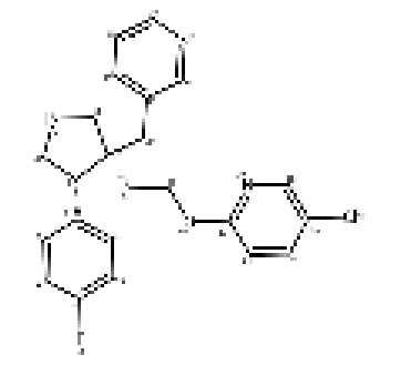 Fc1ccc([C@@H]2CNC[C@@]2(CCOc2ccc(Cl)cn2)Cc2ccccc2)cc1